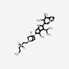 CCCS(=O)(=O)CCN1C[C@@H]2CC1C[C@H]2c1sc2[nH]c(-c3cn4ncnc4c(C)c3C)c(C(C)C)c2c1C